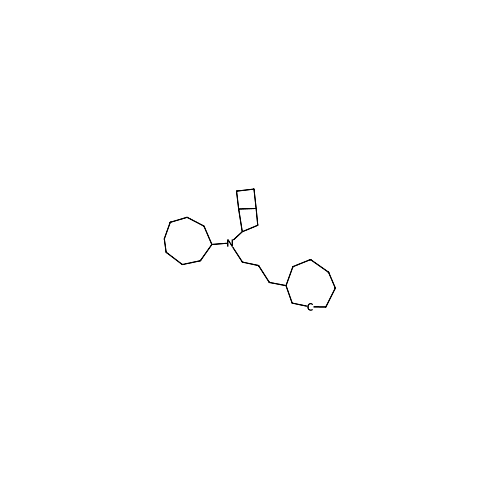 C1CCCC(CCCN(C2CCCCCCC2)C2CC3CCC32)CCC1